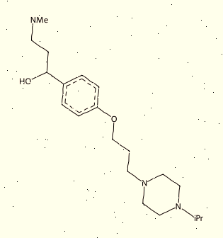 CNCCC(O)c1ccc(OCCCN2CCN(C(C)C)CC2)cc1